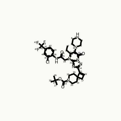 CCc1c(N2CCNCC2)c(=O)n2nc(C3=CCC34CCN(C(=O)OC(C)(C)C)CC4)nc2n1CC(=O)Nc1ccc(C(F)(F)F)cc1Cl